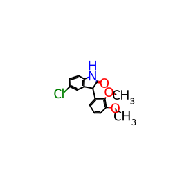 COc1cccc(C2C(=O)Nc3ccc(Cl)cc32)c1OC